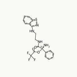 N[C@@](OC(=O)C(F)(F)F)(C(=O)NCCNc1nsc2ccccc12)c1ccccc1